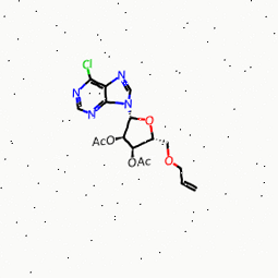 C=CCOC[C@H]1O[C@@H](n2cnc3c(Cl)ncnc32)[C@H](OC(C)=O)[C@@H]1OC(C)=O